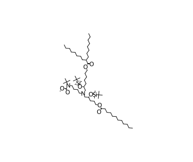 CCCCCCCCCCCC(=O)OCCCC(CN(CCCCN(C(=O)OC)C(C)(C)C)CC(CCCCCOC(=O)C(CCCCCCCC)CCCCCCCC)O[Si](C)(C)C(C)(C)C)O[Si](C)(C)C(C)(C)C